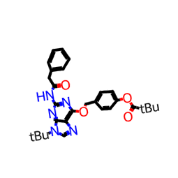 CC(C)(C)C(=O)Oc1ccc(COc2nc(NC(=O)Cc3ccccc3)nc3c2ncn3C(C)(C)C)cc1